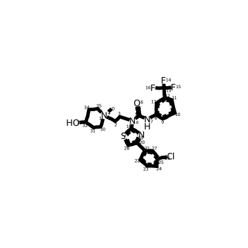 C[N+]1(CCN(C(=O)Nc2cccc(C(F)(F)F)c2)c2nc(-c3cccc(Cl)c3)cs2)CCC(O)CC1